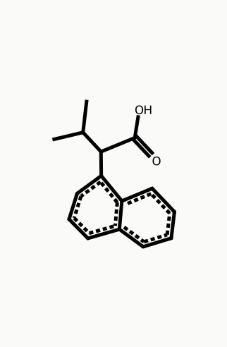 CC(C)C(C(=O)O)c1cccc2ccccc12